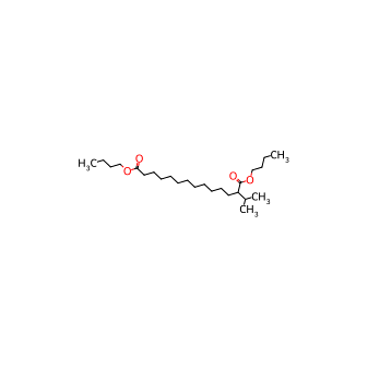 CCCCOC(=O)CCCCCCCCCCCC(C(=O)OCCCC)C(C)C